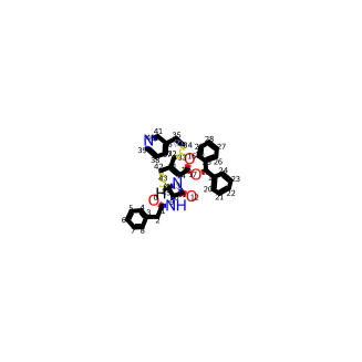 O=C(Cc1ccccc1)NC1C(=O)N2C(C(=O)OC(c3ccccc3)c3ccccc3)=C(CS/C=C\c3cccnc3)CS[C@@H]12